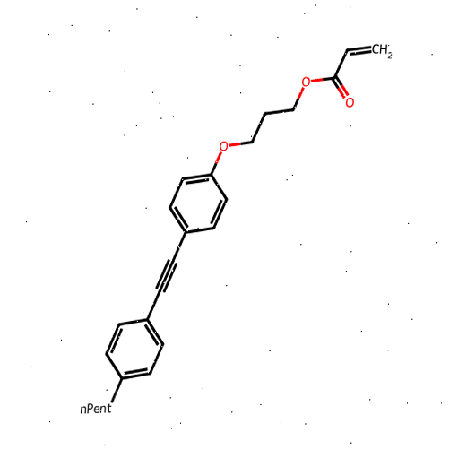 C=CC(=O)OCCCOc1ccc(C#Cc2ccc(CCCCC)cc2)cc1